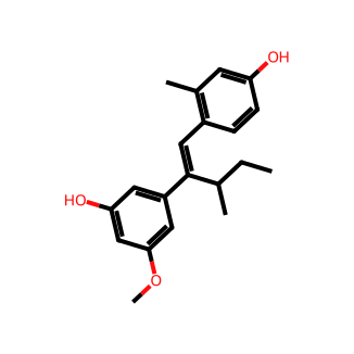 CCC(C)/C(=C\c1ccc(O)cc1C)c1cc(O)cc(OC)c1